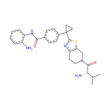 CC(C)[C@H](N)C(=O)N1CCc2nc(C3(c4ccc(C(=O)Nc5ccccc5N)cc4)CC3)sc2C1